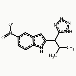 CC(C)C(c1cc2cc([N+](=O)[O-])ccc2[nH]1)c1nnn[nH]1